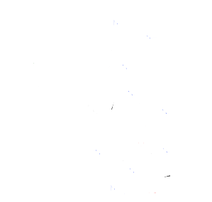 C[C@H](NC(=O)[C@@H](NC(=O)[C@H](CN)NC(=O)c1ccc(-c2ccc(Cl)cc2)cc1)[C@@H](C)O)C(=O)N[C@@H](CCCCN)C(=O)N[C@@H](C)C(=O)c1ncc(-c2ccccn2)o1